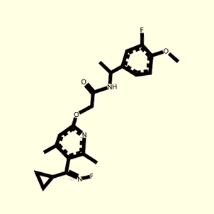 COc1ccc(C(C)NC(=O)COc2cc(C)c(/C(=N\F)C3CC3)c(C)n2)cc1F